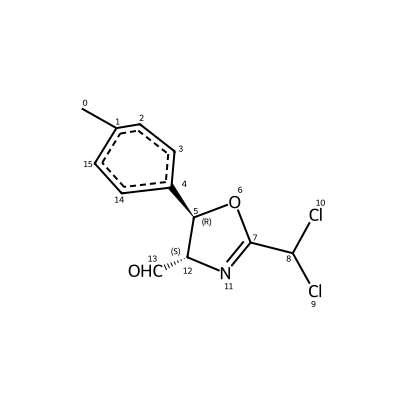 Cc1ccc([C@H]2OC(C(Cl)Cl)=N[C@@H]2C=O)cc1